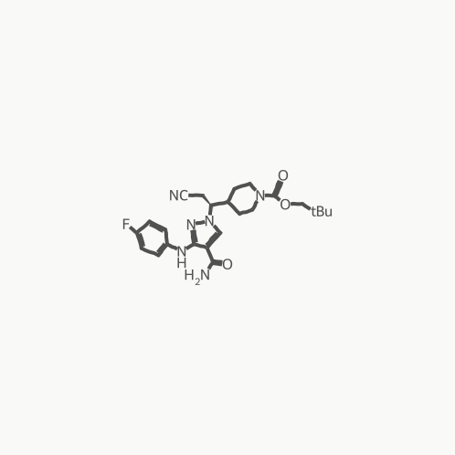 CC(C)(C)COC(=O)N1CCC([C@H](CC#N)n2cc(C(N)=O)c(Nc3ccc(F)cc3)n2)CC1